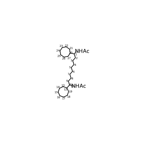 CC(=O)NC(CCCCCCCCC(NC(C)=O)C1CCCCCCC1)C1CCCCCCC1